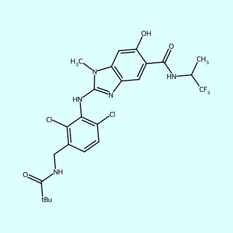 CC(NC(=O)c1cc2nc(Nc3c(Cl)ccc(CNC(=O)C(C)(C)C)c3Cl)n(C)c2cc1O)C(F)(F)F